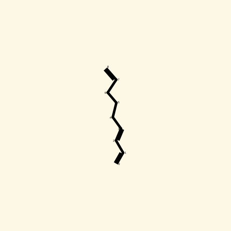 C=C/C=C/CCCC=C